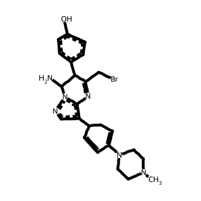 CN1CCN(C2=CCC(c3cnn4c3N=C(CBr)C(c3ccc(O)cc3)C4N)C=C2)CC1